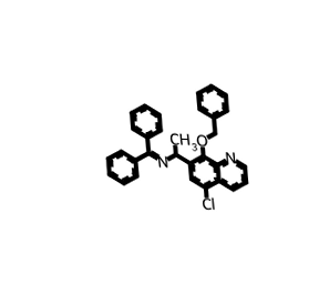 CC(N=C(c1ccccc1)c1ccccc1)c1cc(Cl)c2cccnc2c1OCc1ccccc1